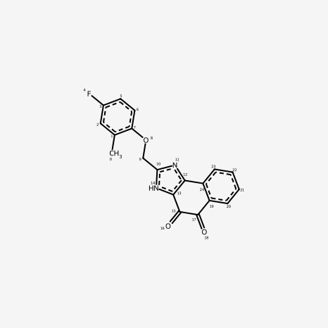 Cc1cc(F)ccc1OCc1nc2c([nH]1)C(=O)C(=O)c1ccccc1-2